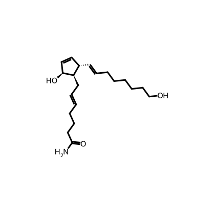 NC(=O)CCCC=CC[C@@H]1[C@@H](C=CCCCCCCO)C=C[C@@H]1O